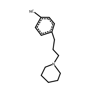 N#Cc1ccc(CCCN2CCCCC2)cc1